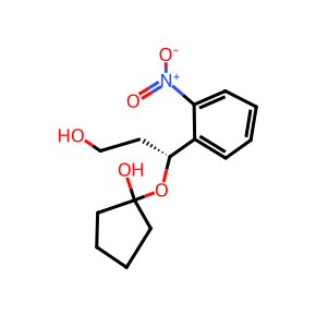 O=[N+]([O-])c1ccccc1[C@@H](CCO)OC1(O)CCCC1